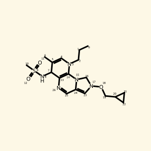 CCCN1C=C(C)C(NS(C)(=O)=O)C2=C1N1CN(OCC3CC3)C=C1C=N2